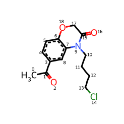 CC(=O)c1ccc2c(c1)N(CCCCCl)C(=O)CO2